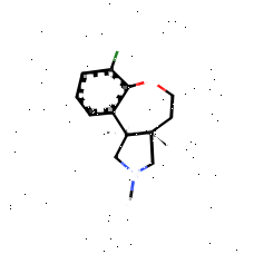 O=C(O)N1C[C@H]2CCOc3c(Cl)cccc3[C@@H]2C1